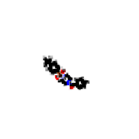 Cc1ccc(C(=O)N2CCN(S(=O)(=O)c3ccc(C(C)(C)C)cc3)CC2)cc1